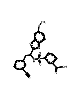 COc1ccc2nc(C(Cc3cccc(C#N)c3)NS(=O)(=O)c3cccc(C(=O)O)c3)sc2c1